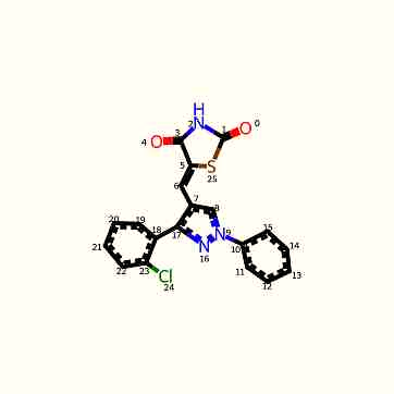 O=C1NC(=O)C(=Cc2cn(-c3ccccc3)nc2-c2ccccc2Cl)S1